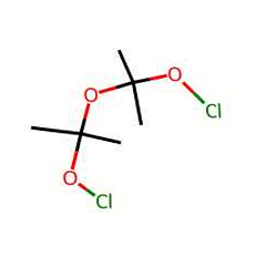 CC(C)(OCl)OC(C)(C)OCl